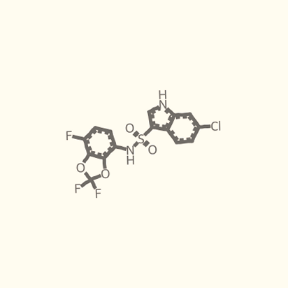 O=S(=O)(Nc1ccc(F)c2c1OC(F)(F)O2)c1c[nH]c2cc(Cl)ccc12